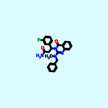 CN(Cc1ccccc1)c1nc2ccccc2c(=O)n1C(CC(N)=O)c1cccc(F)c1